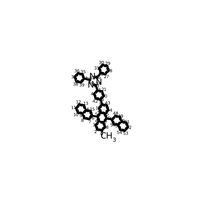 Cc1ccc2c(-c3ccc4ccccc4c3)c3cc(-c4ccc(-c5nc(-c6ccccc6)nc(-c6ccccc6)n5)cc4)ccc3c(-c3ccc4ccccc4c3)c2c1